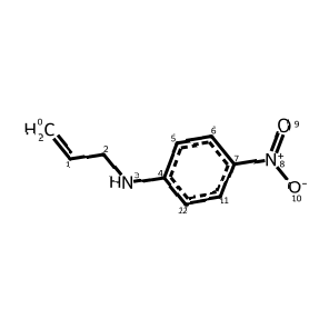 C=CCNc1ccc([N+](=O)[O-])cc1